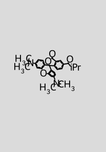 CC(C)C(=O)c1ccc2c(c1)C(=O)OC21c2ccc(N(C)C)cc2Oc2cc(N(C)C)ccc21